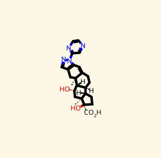 C[C@]12Cc3cnn(-c4cnccn4)c3C=C1CC[C@@H]1[C@@H]2[C@@H](O)C[C@@]2(C)[C@H]1CC[C@]2(O)C(=O)O